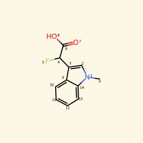 Cn1cc(C(F)C(=O)O)c2ccccc21